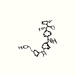 Cn1cccc1C(=O)Nc1ccc(Nc2ccc(Nc3ccc(CCO)cc3)cc2)cc1